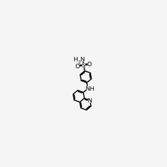 NS(=O)(=O)c1ccc(Nc2cccc3cccnc23)cc1